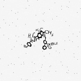 C=C(NCc1ccc(Br)cc1)c1ccc2c(c1)c(C)c(C)n2Cc1ccc(-c2ccccc2C(=O)OC(C)(C)C)cc1